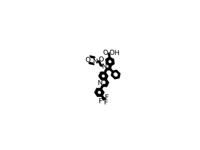 O=C(O)c1ccc2c(C3CCCCC3)c(-c3ccc4nc(-c5cccc(C(F)(F)F)c5)ccc4c3)n(CC(=O)N3CCOCC3)c2c1